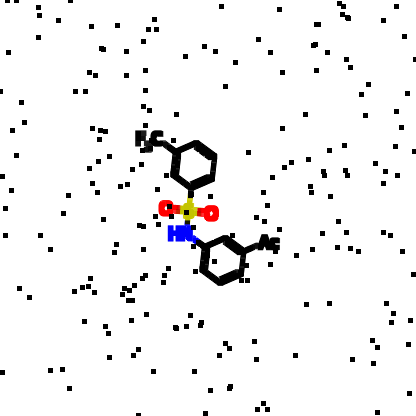 CC(=O)c1cccc(NS(=O)(=O)c2cccc(C(F)(F)F)c2)c1